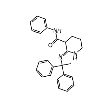 CC(/N=C1\NCCCC1C(=O)Nc1ccccc1)(c1ccccc1)c1ccccc1